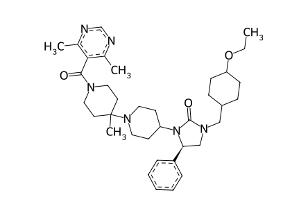 CCOC1CCC(CN2C[C@@H](c3ccccc3)N(C3CCN(C4(C)CCN(C(=O)c5c(C)ncnc5C)CC4)CC3)C2=O)CC1